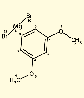 COc1[c]c(OC)ccc1.[Br][Mg][Br]